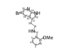 COc1ccccc1CNCCc1c[nH]c2ncc(Br)cc12